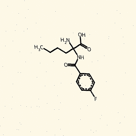 CCCCC(N)(NC(=O)c1ccc(F)cc1)C(=O)O